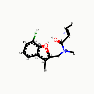 C/C=C/C(=O)N(C)Cc1oc2c(F)cccc2c1C